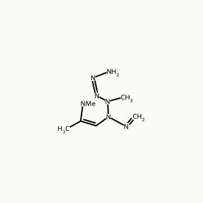 C=NN(/C=C(/C)NC)N(C)/N=N\N